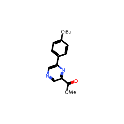 COC(=O)c1cncc(-c2ccc(OCC(C)C)cc2)n1